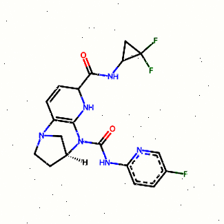 O=C(NC1CC1(F)F)C1C=CC2=C(N1)N(C(=O)Nc1ccc(F)cn1)[C@H]1CCN2C1